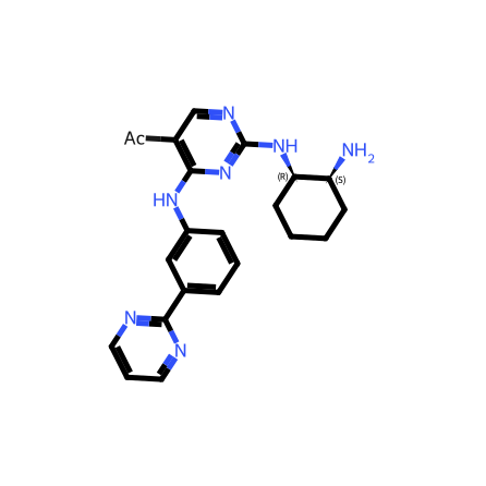 CC(=O)c1cnc(N[C@@H]2CCCC[C@@H]2N)nc1Nc1cccc(-c2ncccn2)c1